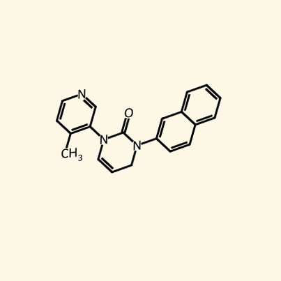 Cc1ccncc1N1C=CCN(c2ccc3ccccc3c2)C1=O